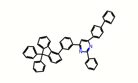 c1ccc(-c2ccc(-c3cc(-c4cccc(-c5cccc6c5-c5ccccc5C6(c5ccccc5)c5ccccc5)c4)nc(-c4ccccc4)n3)cc2)cc1